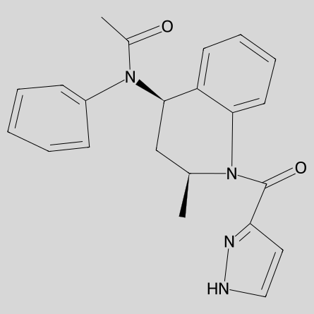 CC(=O)N(c1ccccc1)[C@@H]1C[C@H](C)N(C(=O)c2cc[nH]n2)c2ccccc21